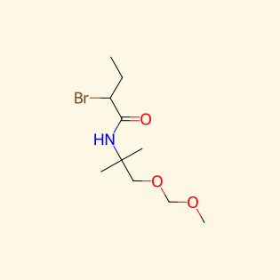 CCC(Br)C(=O)NC(C)(C)COCOC